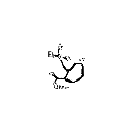 CC[P+](CC)(CC)Cc1ccccc1C(=O)OC.[Cl-]